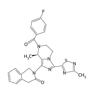 Cc1nsc(-c2nc(N3Cc4ccccc4CC3=O)c3n2CCN(C(=O)c2ccc(F)cc2)[C@@H]3C)n1